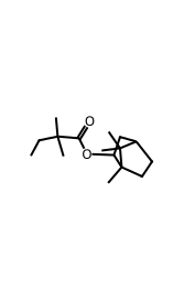 CCC(C)(C)C(=O)OC1CC2CCC1(C)C2(C)C